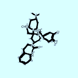 CN(C)C1CCN(C2(CC=O)CC(N3CCc4ccccc4NC3=O)CC[N@+]2(Cc2ccc(Cl)c(Cl)c2)C(=O)[O-])CC1